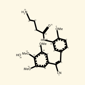 COc1ccc(C=C(C#N)c2cc(OC)c(OC)c(OC)c2)cc1NC(=O)CCCN.Cl